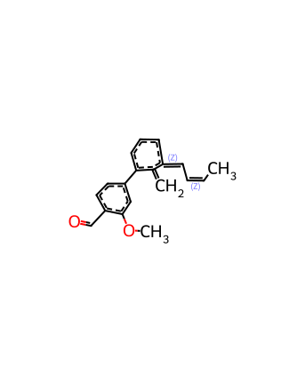 C=c1c(-c2ccc(C=O)c(OC)c2)ccc/c1=C/C=C\C